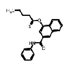 CCCCC(=S)Oc1cc(C(=O)Nc2ccccc2)cc2ccccc12